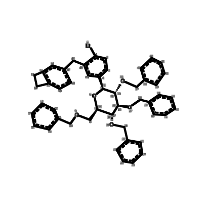 CCc1ccc([C@@H]2O[C@H](COCc3ccccc3)[C@@H](OCc3ccccc3)[C@H](OCc3ccccc3)[C@H]2OCc2ccccc2)cc1Cc1ccc2c(c1)CC2